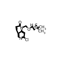 C[Si](C)(C)CCOCn1c(=O)ccc2cnc(Cl)cc21